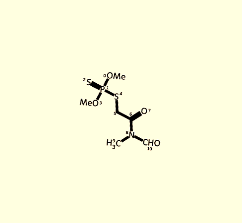 COP(=S)(OC)SCC(=O)N(C)C=O